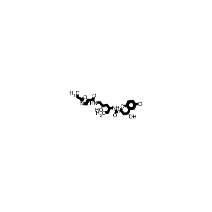 C=CC(C[C@H](O)CNC(=O)c1cnc(CC)o1)NC(=O)[C@H]1C[C@@H](O)c2cc(Cl)ccc2O1